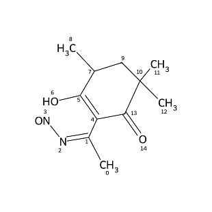 C/C(=N/N=O)C1=C(O)C(C)CC(C)(C)C1=O